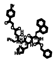 CC(C)C[C@H](NC(=O)[C@H](Cc1c[nH]cn1)NC(=O)[C@@H](Cc1cccc2ccccc12)NC(=O)OCc1ccccc1)[C@@H](O)CC(=O)OCC(=O)c1ccc(Br)cc1